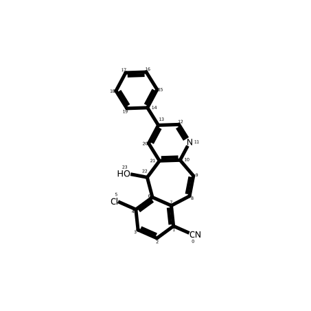 N#Cc1ccc(Cl)c2c1C=Cc1ncc(-c3ccccc3)cc1C2O